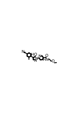 CCOCCNC(=O)c1ccc(-n2ncc(-c3ccc(C#N)cc3C)c2O)nc1